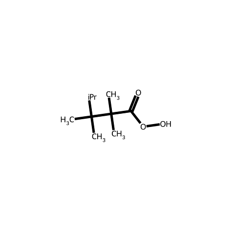 CC(C)C(C)(C)C(C)(C)C(=O)OO